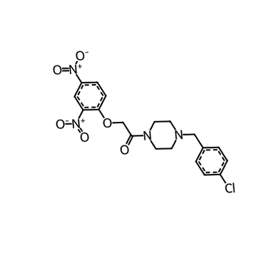 O=C(COc1ccc([N+](=O)[O-])cc1[N+](=O)[O-])N1CCN(Cc2ccc(Cl)cc2)CC1